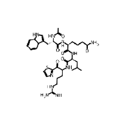 CC(=O)N[C@@H](CC1=CNC2C=CC=CC12)C(=O)N[C@@H](CCCC(N)=O)C(=O)N[C@@H](CC(C)C)C(=O)N[C@@H](CCCNC(=N)N)C(=O)c1nccs1